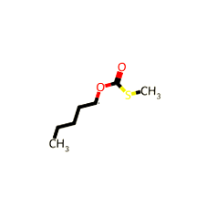 CCCC[CH]OC(=O)SC